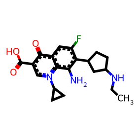 CCNC1CCC(c2c(F)cc3c(=O)c(C(=O)O)cn(C4CC4)c3c2N)C1